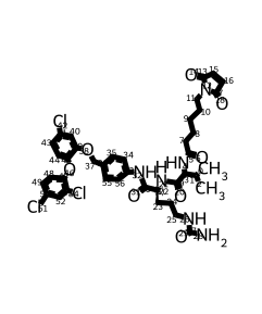 CC(C)C(NC(=O)CCCCCN1C(=O)C=CC1=O)C(=O)N[C@@H](CCCNC(N)=O)C(=O)Nc1ccc(COc2cc(Cl)ccc2Oc2ccc(Cl)cc2Cl)cc1